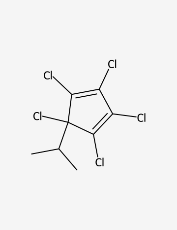 CC(C)C1(Cl)C(Cl)=C(Cl)C(Cl)=C1Cl